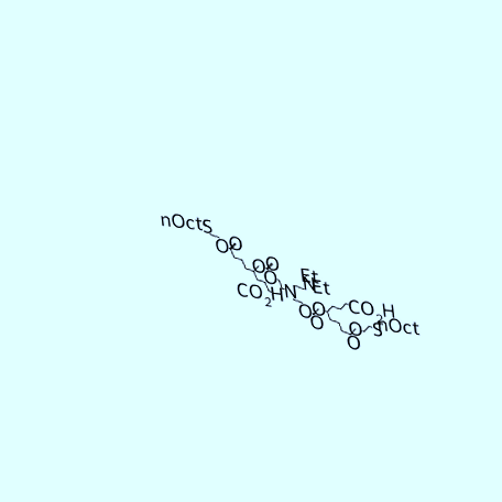 CCCCCCCCSCCOC(=O)CCCC(CCCC(=O)O)OC(=O)OCCN(CCOC(=O)OC(CCCC(=O)O)CCCC(=O)OCCSCCCCCCCC)CCN(CC)CC